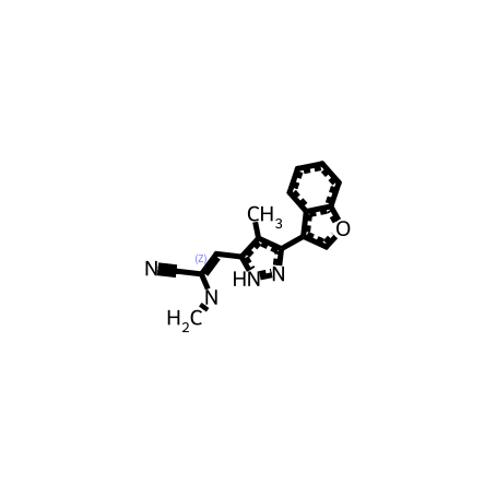 C=N/C(C#N)=C\c1[nH]nc(-c2coc3ccccc23)c1C